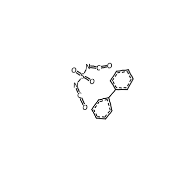 O=C=NS(=O)(=O)N=C=O.c1ccc(-c2ccccc2)cc1